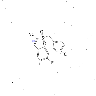 Cc1cc(/C=C(/C#N)S(=O)(=O)Cc2ccc(Cl)cc2)ccc1F